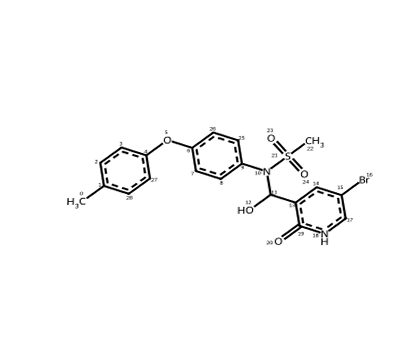 Cc1ccc(Oc2ccc(N(C(O)c3cc(Br)c[nH]c3=O)S(C)(=O)=O)cc2)cc1